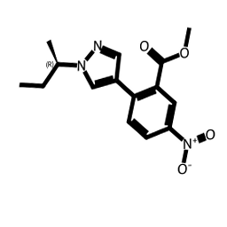 CC[C@@H](C)n1cc(-c2ccc([N+](=O)[O-])cc2C(=O)OC)cn1